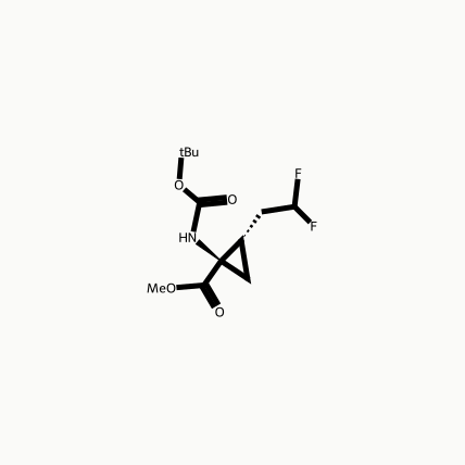 COC(=O)[C@@]1(NC(=O)OC(C)(C)C)C[C@H]1CC(F)F